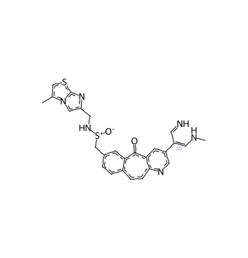 CN/C=C(\C=N)c1cnc2ccc3ccc(C[S+]([O-])NCc4cn5c(C)csc5n4)cc3c(=O)c2c1